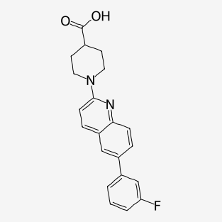 O=C(O)C1CCN(c2ccc3cc(-c4cccc(F)c4)ccc3n2)CC1